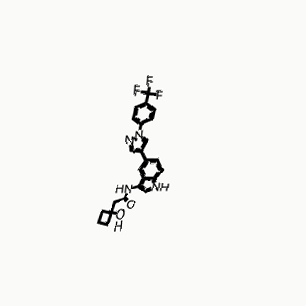 O=C(CC1(O)CCC1)Nc1c[nH]c2ccc(-c3cnn(-c4ccc(C(F)(F)F)cc4)c3)cc12